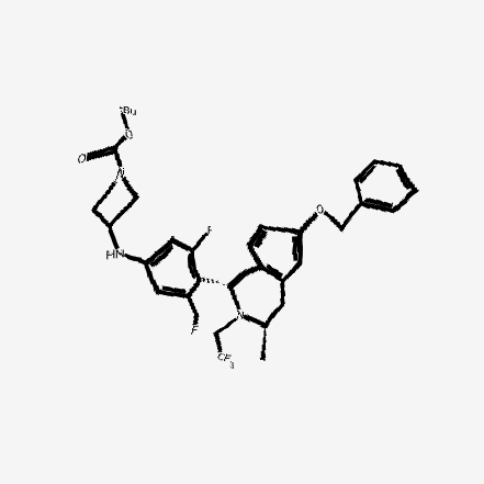 C[C@@H]1Cc2cc(OCc3ccccc3)ccc2[C@@H](c2c(F)cc(NC3CN(C(=O)OC(C)(C)C)C3)cc2F)N1CC(F)(F)F